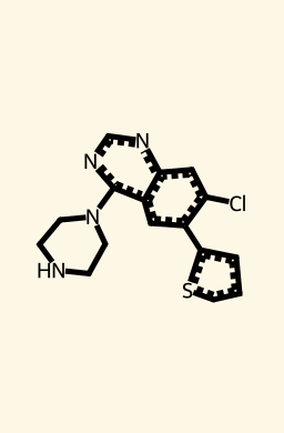 Clc1cc2ncnc(N3CCNCC3)c2cc1-c1cccs1